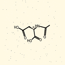 CC(=O)N[C@H](CC(=O)O)C(=O)O